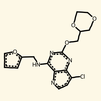 Clc1ccnc2c(NCc3ccco3)nc(OCC3COCCO3)nc12